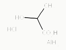 CC(O)C(=O)O.Cl.[AlH3]